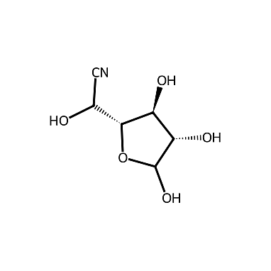 N#CC(O)[C@H]1OC(O)[C@@H](O)[C@@H]1O